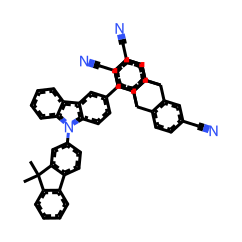 CC1(C)c2ccccc2-c2ccc(-n3c4ccccc4c4cc(-c5cc(C#N)cc6c5C5c7ccc(C#N)cc7C6c6ccc(C#N)cc65)ccc43)cc21